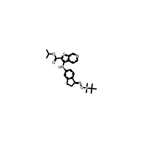 CC(C)OC(=O)c1sc2cnccc2c1Nc1ccc2c(c1)CCC2=NO[Si](C)(C)C(C)(C)C